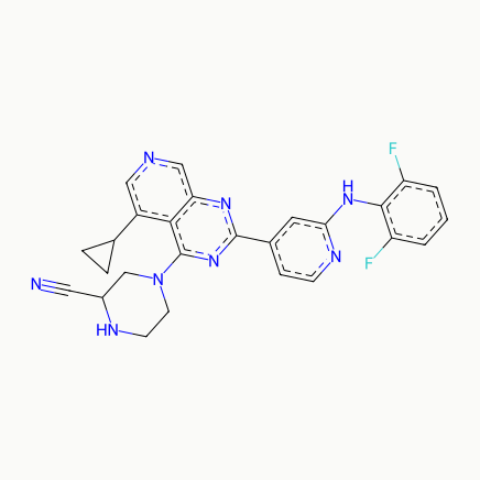 N#CC1CN(c2nc(-c3ccnc(Nc4c(F)cccc4F)c3)nc3cncc(C4CC4)c23)CCN1